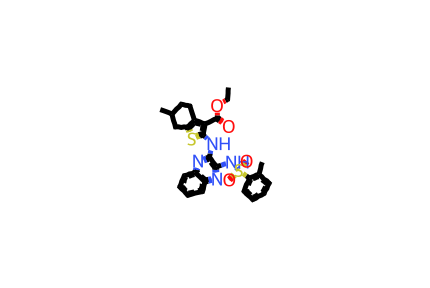 CCOC(=O)c1c(Nc2nc3ccccc3nc2NS(=O)(=O)c2ccccc2C)sc2c1CCC(C)C2